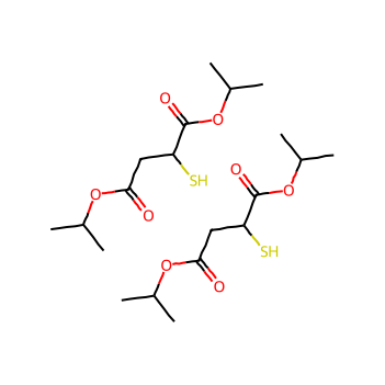 CC(C)OC(=O)CC(S)C(=O)OC(C)C.CC(C)OC(=O)CC(S)C(=O)OC(C)C